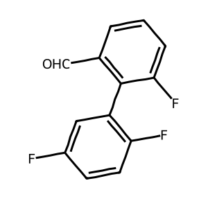 O=Cc1cccc(F)c1-c1cc(F)ccc1F